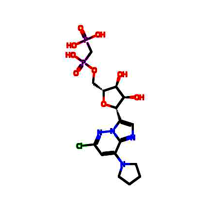 O=P(O)(O)CP(=O)(O)OC[C@H]1O[C@@H](c2cnc3c(N4CCCC4)cc(Cl)nn23)[C@H](O)[C@@H]1O